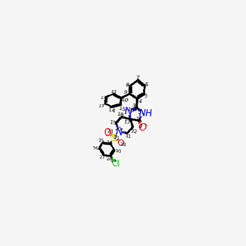 O=C1NC(c2ccccc2-c2ccccc2)=NC12CCN(S(=O)(=O)c1cccc(Cl)c1)CC2